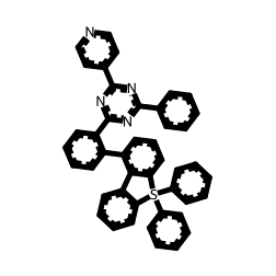 c1ccc(-c2nc(-c3ccncc3)nc(-c3ccccc3-c3cccc4c3-c3ccccc3S4(c3ccccc3)c3ccccc3)n2)cc1